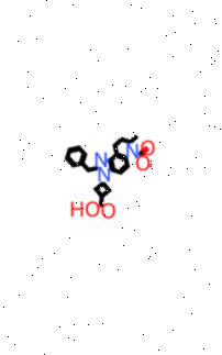 COC(=O)N1c2ccc3c(nc(Cc4ccccc4)n3C3CC(C(=O)O)C3)c2CCC1C